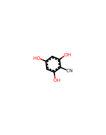 N#Cc1c(O)cc(O)cc1O